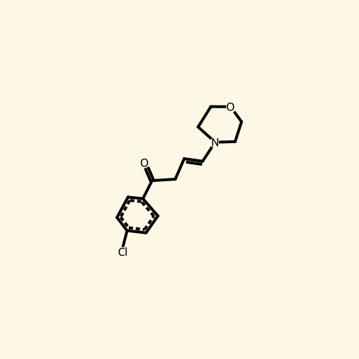 O=C(CC=CN1CCOCC1)c1ccc(Cl)cc1